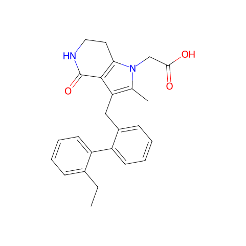 CCc1ccccc1-c1ccccc1Cc1c2c(n(CC(=O)O)c1C)CCNC2=O